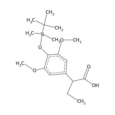 CCC(C(=O)O)c1cc(OC)c(O[Si](C)(C)C(C)(C)C)c(OC)c1